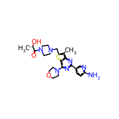 Cc1c(CN2CCN(C(=O)[C@H](C)O)CC2)sc2c(N3CCOCC3)nc(-c3ccc(N)nc3)nc12